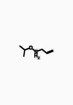 C=CC[SiH2]OC(C)C